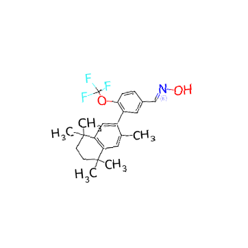 Cc1cc2c(cc1-c1cc(/C=N/O)ccc1OC(F)(F)F)C(C)(C)CCC2(C)C